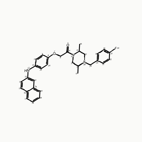 CC1CN(C(=O)COc2ccc(Nc3ccc4ccccc4c3)cc2)C(C)CN1Cc1ccc(F)cc1